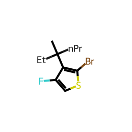 CCCC(C)(CC)c1c(F)csc1Br